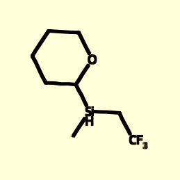 C[SiH](CC(F)(F)F)C1CCCCO1